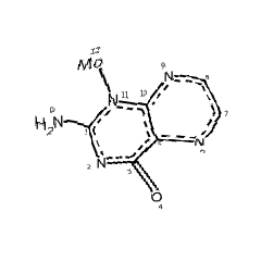 Nc1nc(=O)c2nccnc2[n]1[Mo]